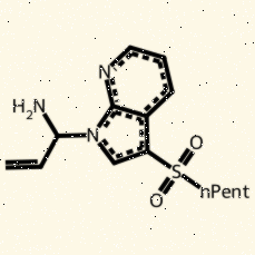 C=CC(N)n1cc(S(=O)(=O)CCCCC)c2cccnc21